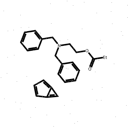 CCC(=O)OCCN(Cc1ccccc1)Cc1ccccc1.c1cc2cc-2c1